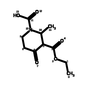 CCOC(=O)C1C(=O)CCN(C(=O)O)C1C